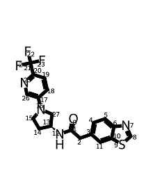 O=C(Cc1ccc2ncsc2c1)N[C@@H]1CCN(c2ccc(C(F)(F)F)nc2)C1